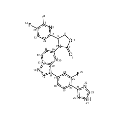 Cc1nc(C2COC(=O)N2c2ccn3ncc(-c4ccc(-c5nc[nH]n5)c(F)c4)c3n2)ccc1F